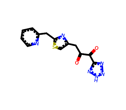 O=C(Cc1csc(Cc2ccccn2)n1)C(=O)c1nn[nH]n1